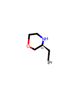 CC(C)C[C@H]1COCCN1